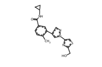 Cc1ccc(C(=O)NC2CC2)cc1-c1cnn(-c2csc(CO)n2)c1